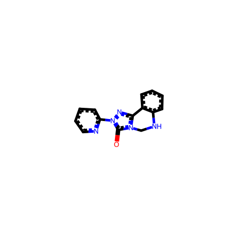 O=c1n(-c2ccccn2)nc2n1CNc1ccccc1-2